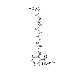 CCCNC(=O)c1ccccc1NCCCCCCCCSSCCC(=O)O